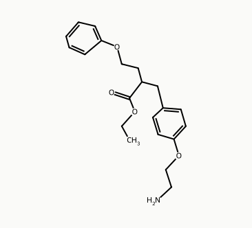 CCOC(=O)C(CCOc1ccccc1)Cc1ccc(OCCN)cc1